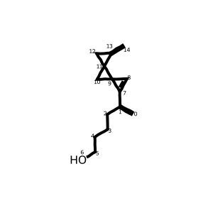 C=C(CCCCO)C1=CC12CC21CC1=C